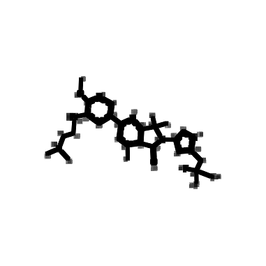 COc1ncc(-c2cc(C)c3c(n2)C(C)(C)N(c2cnn(CC(F)(F)F)c2)C3=O)cc1NCCN(C)C